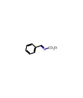 CCOC(=O)N=Cc1ccccc1